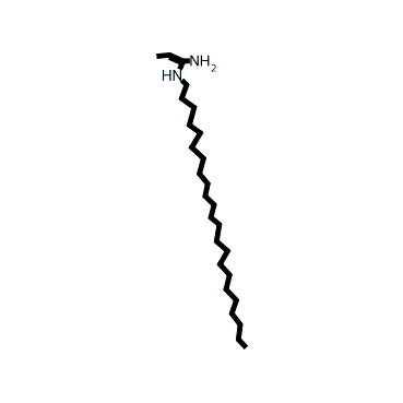 CC=C(N)NCCCCCCCCCCCCCCCCCCCCCCC